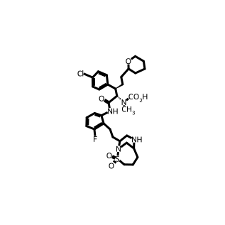 CN(C(=O)O)[C@H](C(=O)Nc1cccc(F)c1CCC1CNC2CCCS(=O)(=O)N1C2)[C@H](CCC1CCCCO1)c1ccc(Cl)cc1